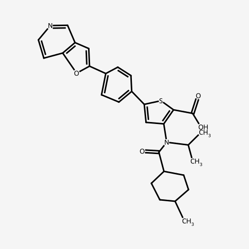 CC1CCC(C(=O)N(c2cc(-c3ccc(-c4cc5cnccc5o4)cc3)sc2C(=O)O)C(C)C)CC1